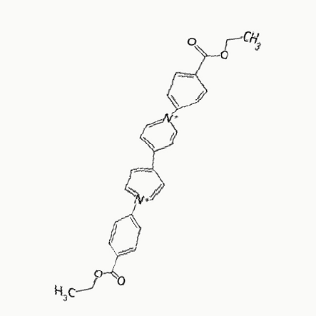 CCOC(=O)c1ccc(-[n+]2ccc(-c3cc[n+](-c4ccc(C(=O)OCC)cc4)cc3)cc2)cc1